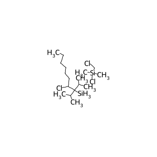 CCCCCCC(Cl)C([SiH3])(C(C)C)C(C)C.C[Si](C)(Cl)CCl